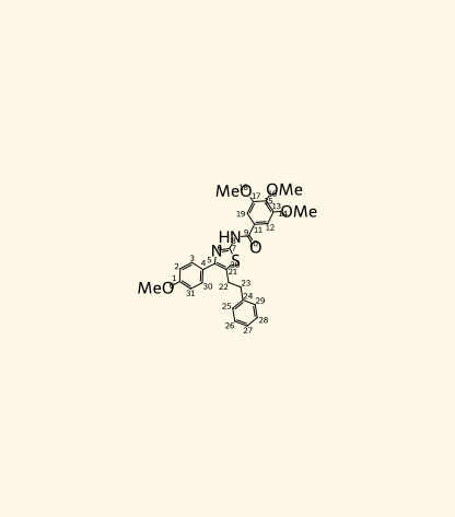 COc1ccc(-c2nc(NC(=O)c3cc(OC)c(OC)c(OC)c3)sc2CCc2ccccc2)cc1